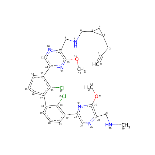 C#CCC1CC1CNCc1ncc(-c2cccc(-c3cccc(-c4cnc(CNC)c(OC)n4)c3Cl)c2Cl)nc1OC